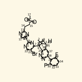 CC1(C)[C@H]2CC[C@@]1(c1nc(-n3cnc(CCS(C)(=O)=O)n3)ncc1Br)c1nnc(-c3c(F)cccc3F)cc12